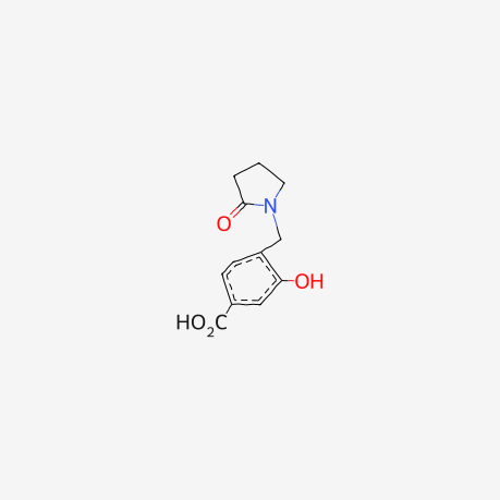 O=C(O)c1ccc(CN2CCCC2=O)c(O)c1